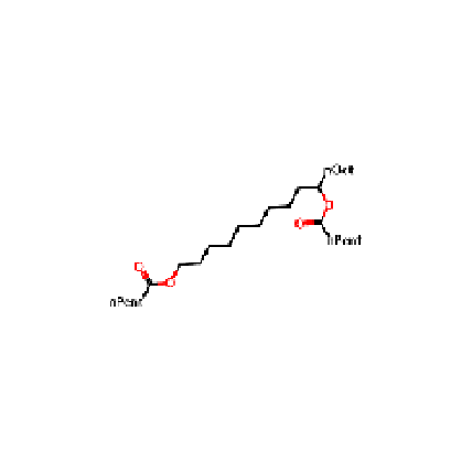 CCCCCCCCC(CCCCCCCCCOC(=O)CCCCC)OC(=O)CCCCC